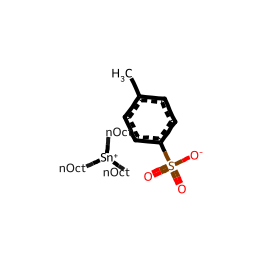 CCCCCCC[CH2][Sn+]([CH2]CCCCCCC)[CH2]CCCCCCC.Cc1ccc(S(=O)(=O)[O-])cc1